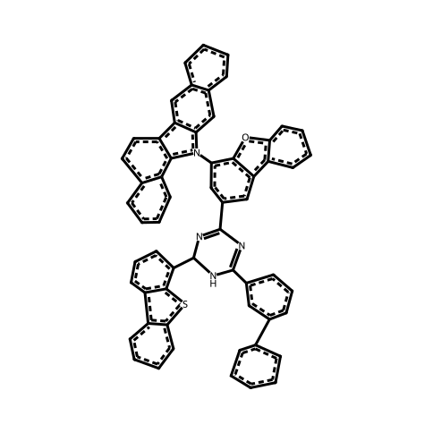 c1ccc(-c2cccc(C3=NC(c4cc(-n5c6cc7ccccc7cc6c6ccc7ccccc7c65)c5oc6ccccc6c5c4)=NC(c4cccc5c4sc4ccccc45)N3)c2)cc1